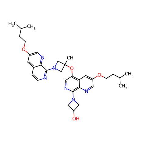 CC(C)CCOc1cnc2c(N3CC(C)(Oc4cnc(N5CC(O)C5)c5ncc(OCCC(C)C)cc45)C3)nccc2c1